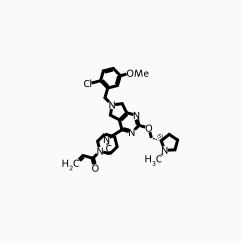 C=CC(=O)N1CC2CCC1CN2c1nc(OC[C@@H]2CCCN2C)nc2c1CN(Cc1cc(OC)ccc1Cl)C2